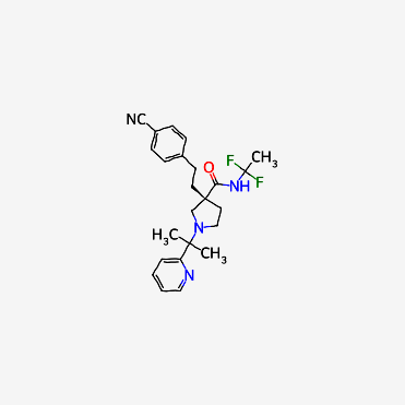 CC(F)(F)NC(=O)[C@]1(CCc2ccc(C#N)cc2)CCN(C(C)(C)c2ccccn2)C1